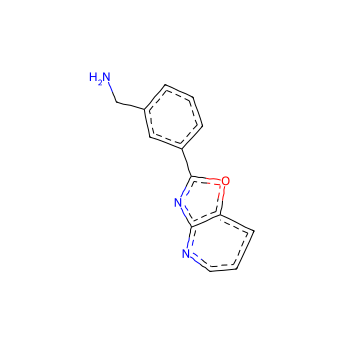 NCc1cccc(-c2nc3ncccc3o2)c1